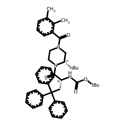 CCCC[C@H]1CN(C(=O)c2cccc(C)c2C)CCN1C(=S)[C@@H](CC(c1ccccc1)(c1ccccc1)c1ccccc1)NC(=O)OC(C)(C)C